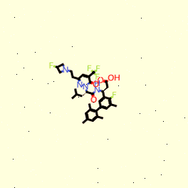 Cc1cc(C)c(-c2cc(C)c(F)c([C@H](CC(=O)O)NC(=O)[C@H](CC(C)C)n3nc(CCN4CC(F)C4)cc(C(F)(F)F)c3=O)c2)c(C)c1